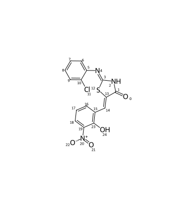 O=C1NC(=Nc2ccccc2Cl)SC1=Cc1cccc([N+](=O)[O-])c1O